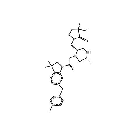 C[C@@H]1CN(CC(=O)N2CC(C)(C)c3ncc(Cc4ccc(F)cc4)cc32)[C@@H](CN2CCC(F)(F)C2=O)CN1